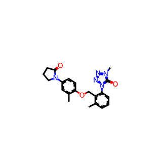 Cc1cc(N2CCCC2=O)ccc1OCc1c(C)cccc1-n1nnn(C)c1=O